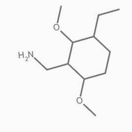 CCC1CCC(OC)C(CN)C1OC